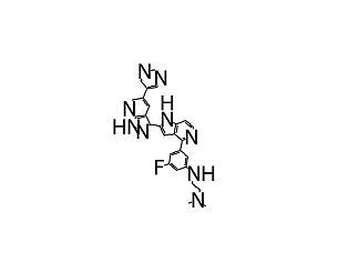 CN(C)CCNc1cc(F)cc(-c2nccc3[nH]c(-c4n[nH]c5ncc(-c6cncnc6)cc45)cc23)c1